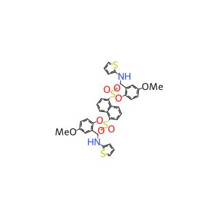 COc1ccc(OS(=O)(=O)c2cccc3c(S(=O)(=O)Oc4ccc(OC)cc4CNc4cccs4)cccc23)c(CNc2cccs2)c1